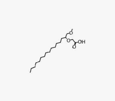 CCCCCCCCCCCCCCC(COC)OCC(=O)O